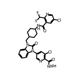 CNC(=O)c1ncc(-n2c(=O)n(CC3CCC(NC(=O)c4cc(Cl)cnc4C(F)F)CC3)c3ccccc32)cc1Cl